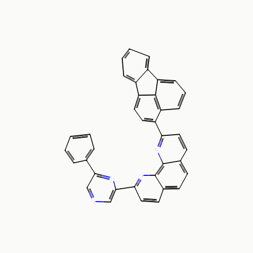 c1ccc(-c2cncc(-c3ccc4ccc5ccc(-c6ccc7c8c(cccc68)-c6ccccc6-7)nc5c4n3)n2)cc1